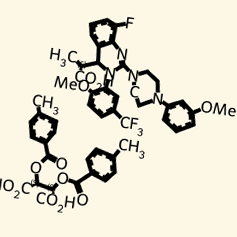 COc1cccc(N2CCN(C3=Nc4c(F)cccc4C([C@H](C)C(=O)O)N3c3cc(C(F)(F)F)ccc3OC)CC2)c1.Cc1ccc(C(=O)O[C@H](C(=O)O)[C@H](OC(=O)c2ccc(C)cc2)C(=O)O)cc1